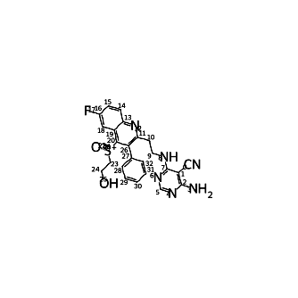 N#Cc1c(N)ncnc1NCCc1nc2ccc(F)cc2c([S@@+]([O-])CCO)c1-c1ccccc1